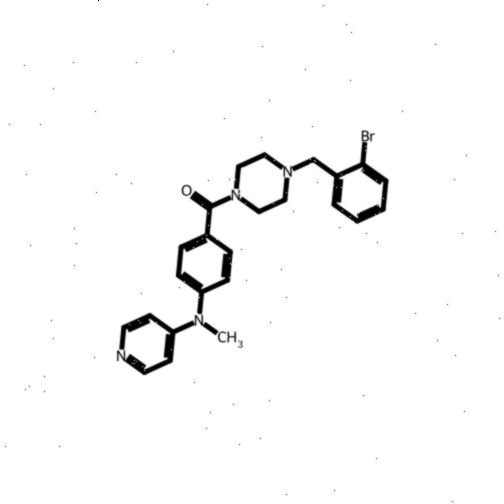 CN(c1ccncc1)c1ccc(C(=O)N2CCN(Cc3ccccc3Br)CC2)cc1